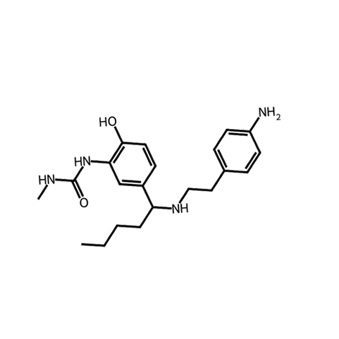 CCCCC(NCCc1ccc(N)cc1)c1ccc(O)c(NC(=O)NC)c1